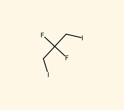 FC(F)(CI)CI